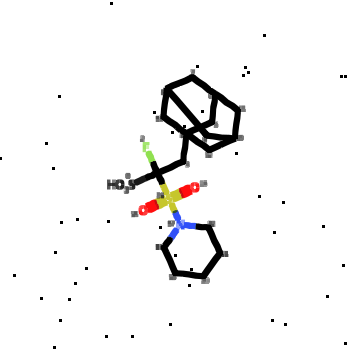 O=S(=O)(O)C(F)(CC12CC3CC(CC(C3)C1)C2)S(=O)(=O)N1CCCCC1